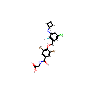 O=C(O)CNC(=O)c1cc(Br)c(OCc2cc(Cl)cc(NC3CCC3)c2F)c(Br)c1